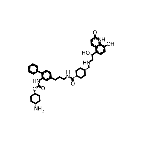 N[C@H]1CC[C@H](OC(=O)Nc2cc(CCCNC(=O)[C@H]3CC[C@H](CNC[C@H](O)c4ccc(O)c5[nH]c(=O)ccc45)CC3)ccc2-c2ccccc2)CC1